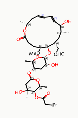 CO[C@H]1CCC(=O)O[C@H](C)C/C=C/C=C/[C@@H](O)[C@H](C)C[C@H](CC=O)[C@H]1O[C@H]1O[C@H](C)[C@@H](O[C@@H]2C[C@](C)(O)[C@H](OC(=O)CC(C)C)[C@H](C)O2)C[C@H]1O